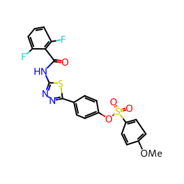 COc1ccc(S(=O)(=O)Oc2ccc(-c3nnc(NC(=O)c4c(F)cccc4F)s3)cc2)cc1